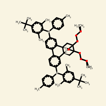 CCCCC1C[C@]23CC(CCCC)C(CCCC)C[C@@]2(CC1CCCC)c1cc(N(c2ccc(C)cc2)c2c(C)cc(C(C)(C)C)cc2C)ccc1-c1ccc(N(c2ccc(C)cc2)c2c(C)cc(C(C)(C)C)cc2C)cc13